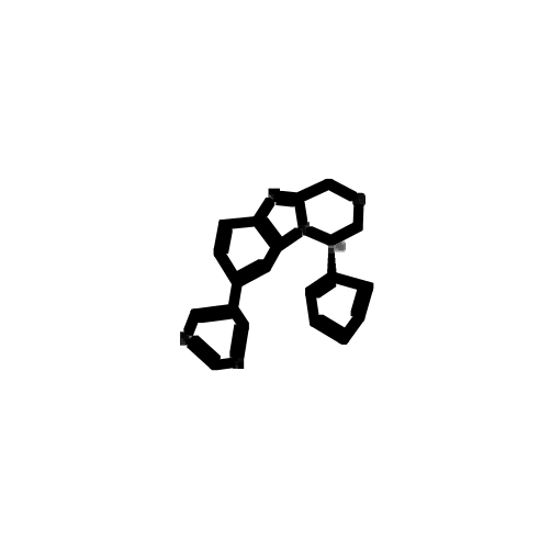 c1ccc([C@H]2COCc3nc4ccc(-c5cncnc5)cc4n32)cc1